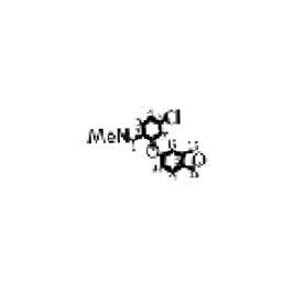 CNCc1ccc(Cl)cc1Oc1ccc2c(c1)COC2